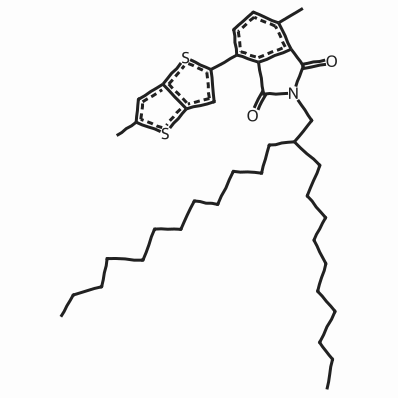 CCCCCCCCCCCCC(CCCCCCCCCC)CN1C(=O)c2c(C)ccc(-c3cc4sc(C)cc4s3)c2C1=O